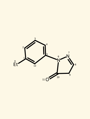 CCc1cccc(N2N=CCC2=O)c1